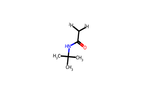 [2H]C([2H])C(=O)NC(C)(C)C